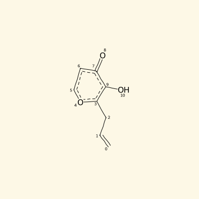 C=CCc1occc(=O)c1O